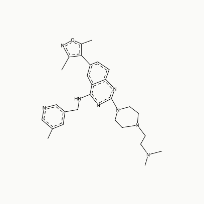 Cc1cncc(CNc2nc(N3CCN(CCN(C)C)CC3)nc3ccc(-c4c(C)noc4C)cc23)c1